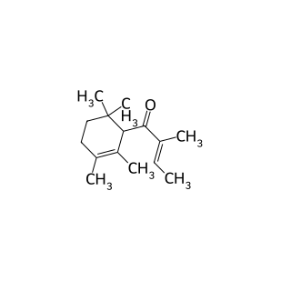 CC=C(C)C(=O)C1C(C)=C(C)CCC1(C)C